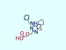 O=C(O)COCc1nc(NCc2ccccc2)c2c3c(sc2n1)CCCC3